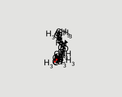 CCOP(=O)(OCC)C(c1ccc(NC(=O)COC(=O)c2cn(C3CC3)c3cc(N4CCN(C(=O)OC(C)(C)C)CC4)c(F)cc3c2=O)cc1)P(=O)(OCC)OCC